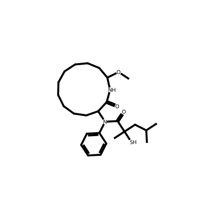 COC1CCCCCCCCCC(N(C(=O)C(C)(S)CC(C)C)c2ccccc2)C(=O)N1